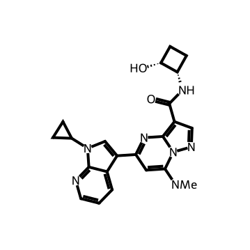 CNc1cc(-c2cn(C3CC3)c3ncccc23)nc2c(C(=O)N[C@H]3CC[C@H]3O)cnn12